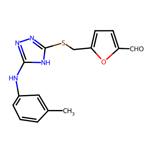 Cc1cccc(Nc2nnc(SCc3ccc(C=O)o3)[nH]2)c1